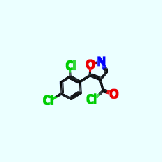 O=C(Cl)c1cnoc1-c1ccc(Cl)cc1Cl